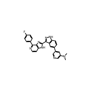 CN(C)c1cncc(-c2ccc3[nH]nc(-c4nc5c(-c6ccc(F)cc6)nccc5[nH]4)c3c2)c1